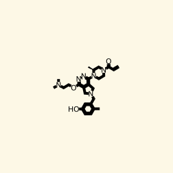 C=CC(=O)N1CCN(c2nnc(OCCN(C)C)c3c2CN(Cc2cc(O)ccc2C)C3)[C@@H](C)C1